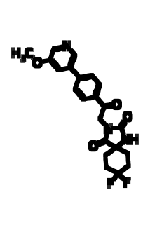 COc1cncc(-c2ccc(C(=O)CN3C(=O)NC4(CCC(F)(F)CC4)C3=O)cc2)c1